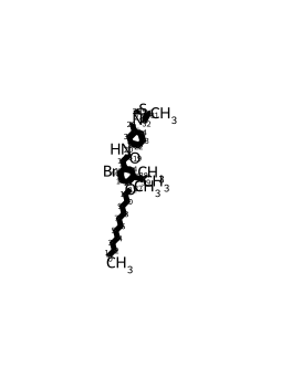 CCCCCCCCCCCCOc1ccc(CC(=O)Nc2cccc(C[n+]3csc(C)c3)c2)cc1C(C)(C)C.[Br-]